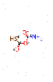 NC(=O)OC(=O)S